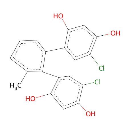 Cc1cccc(-c2cc(Cl)c(O)cc2O)c1-c1cc(Cl)c(O)cc1O